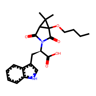 CCCCOC12C(=O)N([C@H](Cc3c[nH]c4ccccc34)C(=O)O)C(=O)C1C2(C)C